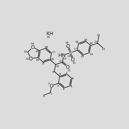 CCOc1ccccc1CC(C(=O)NS(=O)(=O)c1ccc(C(C)C)cc1)c1ccc2c(c1)OCO2.[KH]